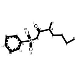 CCCCC(C)C(=O)CS(=O)(=O)c1ccccc1